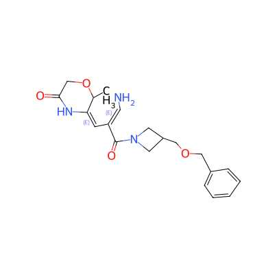 CC1OCC(=O)N/C1=C/C(=C\N)C(=O)N1CC(COCc2ccccc2)C1